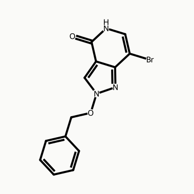 O=c1[nH]cc(Br)c2nn(OCc3ccccc3)cc12